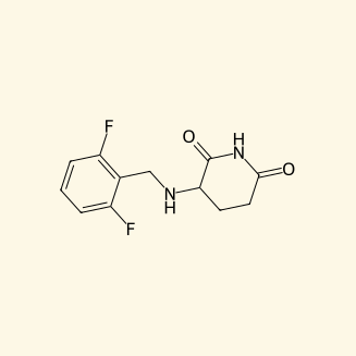 O=C1CCC(NCc2c(F)cccc2F)C(=O)N1